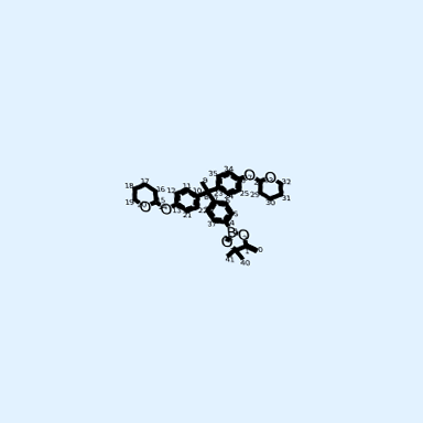 C=C1OB(c2ccc(C(C)(c3ccc(OC4CCCCO4)cc3)c3ccc(OC4CCCCO4)cc3)cc2)OC1(C)C